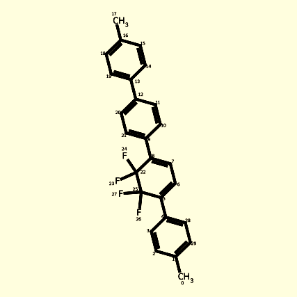 Cc1ccc(C2=CC=C(c3ccc(-c4ccc(C)cc4)cc3)C(F)(F)C2(F)F)cc1